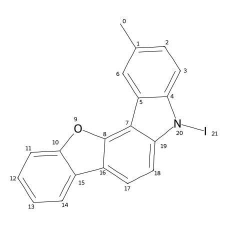 Cc1ccc2c(c1)c1c3oc4ccccc4c3ccc1n2I